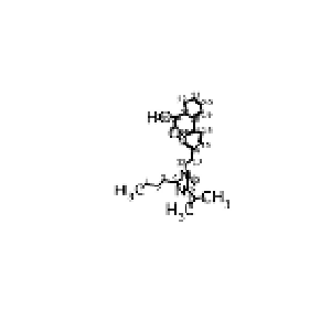 CCCCc1nc(C(C)C)nn1CCc1ccc(-c2ccccc2C(=O)O)nc1